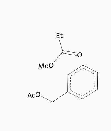 CC(=O)OCc1ccccc1.CCC(=O)OC